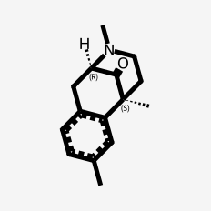 Cc1ccc2c(c1)[C@]1(C)CCN(C)[C@H](C2)C1=O